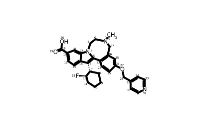 CN1CCn2c(c([C@@H]3CCCC[C@H]3F)c3ccc(C(=O)O)cc32)-c2ccc(OCc3ccncc3)cc2C1